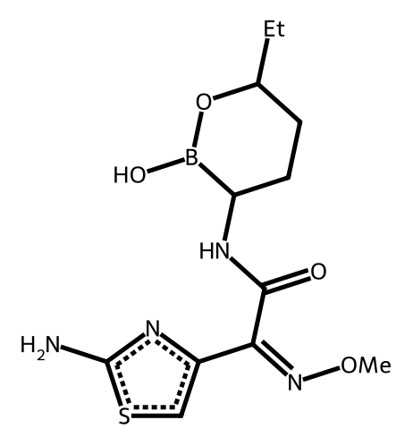 CCC1CCC(NC(=O)/C(=N\OC)c2csc(N)n2)B(O)O1